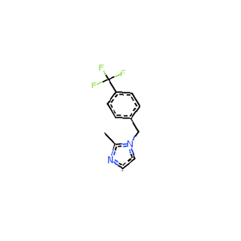 Cc1n[c]cn1Cc1ccc(C(F)(F)F)cc1